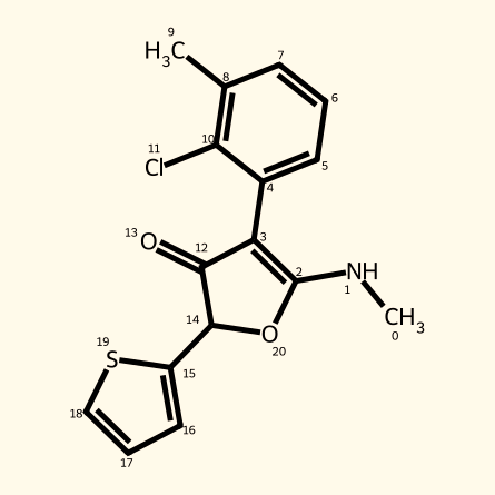 CNC1=C(c2cccc(C)c2Cl)C(=O)C(c2cccs2)O1